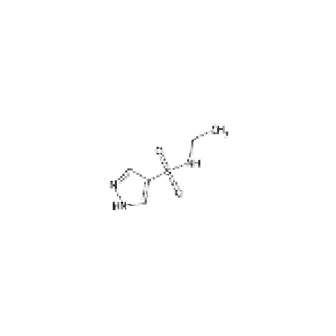 CCNS(=O)(=O)c1cn[nH]c1